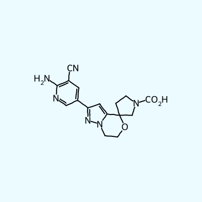 N#Cc1cc(-c2cc3n(n2)CCOC32CCN(C(=O)O)C2)cnc1N